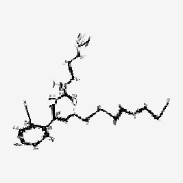 CCCCCCCCCCC(OC(=O)NCCCS)c1ccccc1C